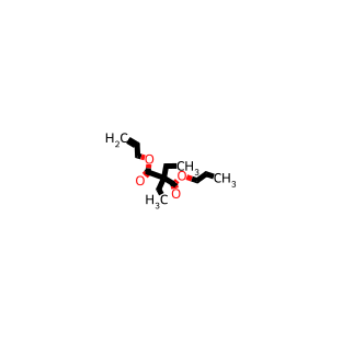 C=CCOC(=O)C(CC)(CC)C(=O)OCCC